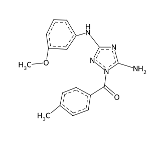 COc1cccc(Nc2nc(N)n(C(=O)c3ccc(C)cc3)n2)c1